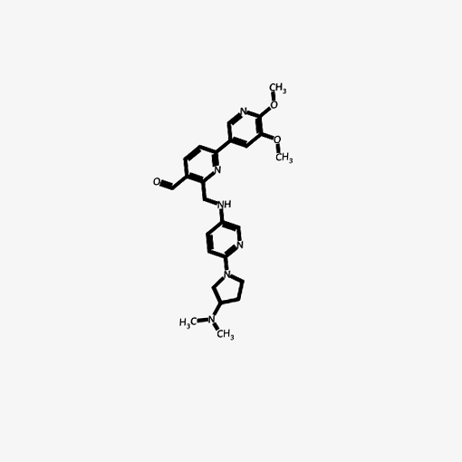 COc1cc(-c2ccc(C=O)c(CNc3ccc(N4CCC(N(C)C)C4)nc3)n2)cnc1OC